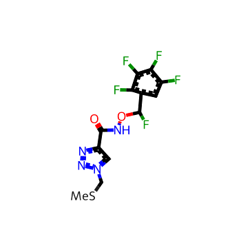 CSCn1cc(C(=O)NOC(F)c2cc(F)c(F)c(F)c2F)nn1